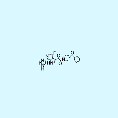 O=C(C(=O)N1CCN(C(=O)c2ccccc2)CC1)c1c[nH]c2c(-c3c[nH]nn3)ncc(F)c12